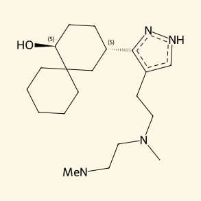 CNCCN(C)CCc1c[nH]nc1[C@H]1CC[C@H](O)C2(CCCCC2)C1